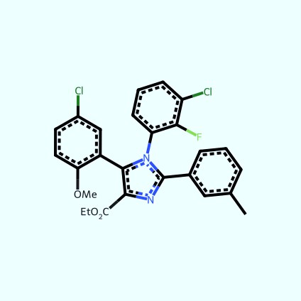 CCOC(=O)c1nc(-c2cccc(C)c2)n(-c2cccc(Cl)c2F)c1-c1cc(Cl)ccc1OC